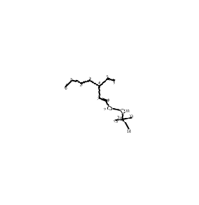 CCCCC(CC)CCOOC(C)(C)C